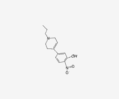 CCCN1CC=C(c2ccc([N+](=O)[O-])c(O)c2)CC1